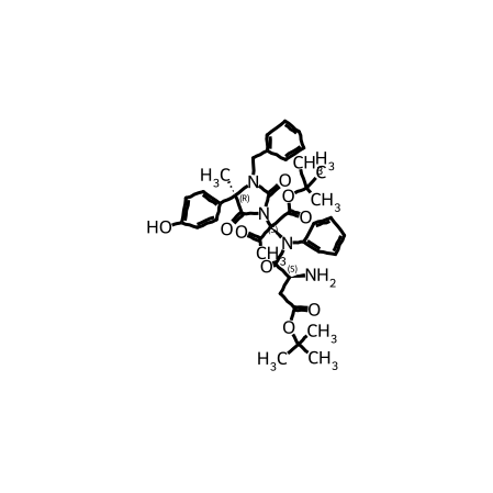 CC(=O)[C@@](C(=O)OC(C)(C)C)(N1C(=O)N(Cc2ccccc2)[C@](C)(c2ccc(O)cc2)C1=O)N(C(=O)[C@@H](N)CC(=O)OC(C)(C)C)c1ccccc1